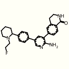 Nc1ncc(-c2ccc(C3CCCCN3CCF)cc2)cc1-c1ccc2c(c1)CCNC2=O